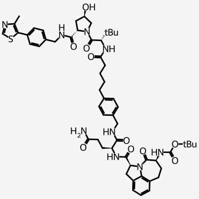 Cc1ncsc1-c1ccc(CNC(=O)[C@@H]2C[C@@H](O)CN2C(=O)[C@@H](NC(=O)CCCCc2ccc(CNC(=O)[C@H](CCC(N)=O)NC(=O)[C@@H]3Cc4cccc5c4N3C(=O)[C@@H](NC(=O)OC(C)(C)C)CC5)cc2)C(C)(C)C)cc1